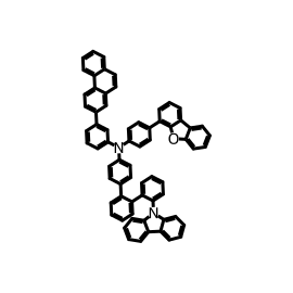 c1cc(-c2ccc3c(ccc4ccccc43)c2)cc(N(c2ccc(-c3ccccc3-c3ccccc3-n3c4ccccc4c4ccccc43)cc2)c2ccc(-c3cccc4c3oc3ccccc34)cc2)c1